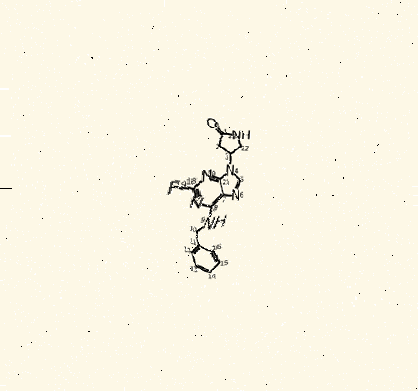 O=C1CC(n2cnc3c(NCc4ccccc4)nc(F)nc32)CN1